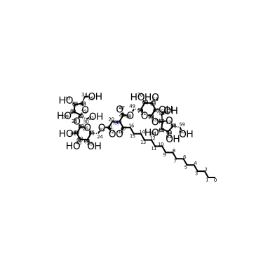 CCCCCCCCCCCCCCCCCC(=O)/C(=C\C(=O)OC[C@H]1O[C@H](O[C@]2(CO)O[C@H](CO)[C@@H](O)[C@@H]2O)[C@H](O)[C@@H](O)[C@@H]1O)C(=O)OC[C@H]1O[C@H](O[C@]2(CO)O[C@H](CO)[C@@H](O)[C@@H]2O)[C@H](O)[C@@H](O)[C@@H]1O